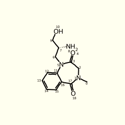 CN1CC(=O)N(C[C@@H](N)CO)c2ccccc2C1=O